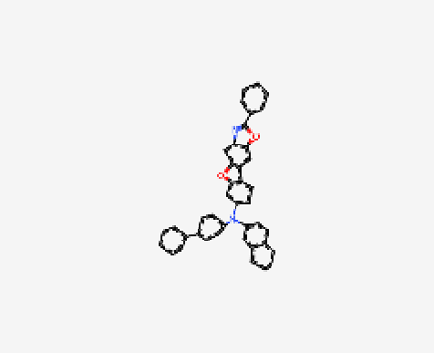 c1ccc(-c2ccc(N(c3ccc4ccccc4c3)c3ccc4c(c3)oc3cc5nc(-c6ccccc6)oc5cc34)cc2)cc1